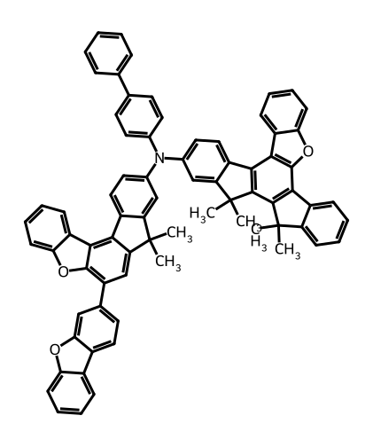 CC1(C)c2cc(N(c3ccc(-c4ccccc4)cc3)c3ccc4c(c3)C(C)(C)c3c5c(c6oc7ccccc7c6c3-4)-c3ccccc3C5(C)C)ccc2-c2c1cc(-c1ccc3c(c1)oc1ccccc13)c1oc3ccccc3c21